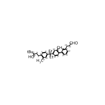 CCC(CC)(c1ccc(CCC(O)C(C)(C)C)c(C)c1)c1ccc(-c2cccc(CCC=O)c2)c(C)c1